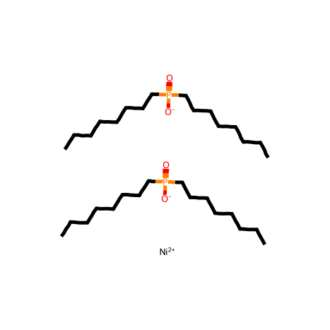 CCCCCCCCP(=O)([O-])CCCCCCCC.CCCCCCCCP(=O)([O-])CCCCCCCC.[Ni+2]